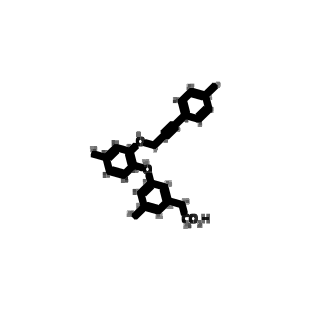 Cc1ccc(C#CCOc2cc(C)ccc2Oc2cc(C)cc(CC(=O)O)c2)cc1